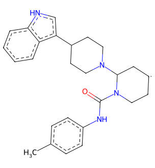 Cc1ccc(NC(=O)N2CC[CH]CC2N2CCC(c3c[nH]c4ccccc34)CC2)cc1